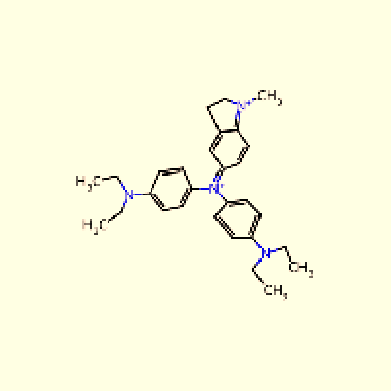 CCN(CC)c1ccc([N+](=C2C=CC3=[N+](C)CCC3=C2)c2ccc(N(CC)CC)cc2)cc1